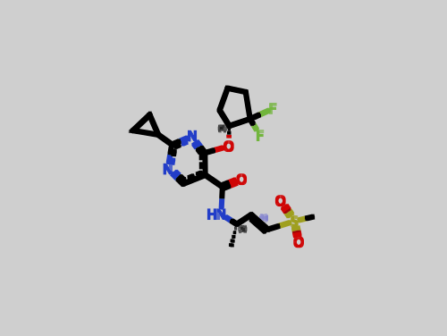 C[C@@H](/C=C/S(C)(=O)=O)NC(=O)c1cnc(C2CC2)nc1O[C@@H]1CCCC1(F)F